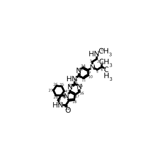 CNCCN(CC(C)C)c1ccc(Nc2ncc3cc4n(c3n2)C2(CCCCC2)CNC4=O)nc1